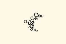 CN(C(=O)OC(C)(C)C)c1cc(Cl)nc2c(C(=O)NC3CCCC[C@](C)(O)C3)cnn12